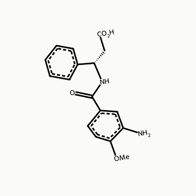 COc1ccc(C(=O)N[C@@H](CC(=O)O)c2ccccc2)cc1N